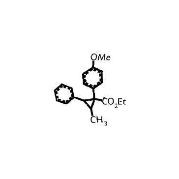 CCOC(=O)C1(c2ccc(OC)cc2)C(C)C1c1ccccc1